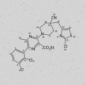 CCOC(=O)c1nc(-c2cccc(Cl)c2Cl)c(C)nc1N1CCC(C#N)(Cc2csc(Cl)n2)CC1